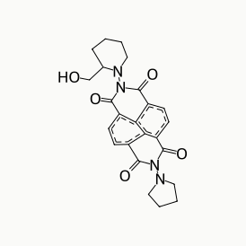 O=C1c2ccc3c4c(ccc(c24)C(=O)N1N1CCCC1)C(=O)N(N1CCCCC1CO)C3=O